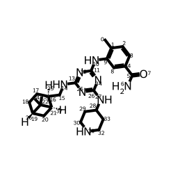 Cc1ccc(C(N)=O)cc1Nc1nc(NC[C@@H]2CC[C@H]3C[C@H]2C3(C)C)nc(NC2CCNCC2)n1